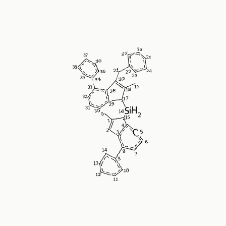 CC1=Cc2c(cccc2-c2ccccc2)[C]1[SiH2][C]1C(C)=C(Cc2ccccc2)c2c1cccc2-c1ccccc1